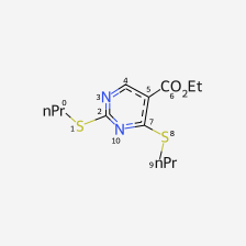 CCCSc1ncc(C(=O)OCC)c(SCCC)n1